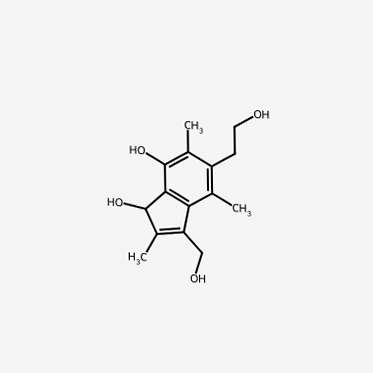 CC1=C(CO)c2c(C)c(CCO)c(C)c(O)c2C1O